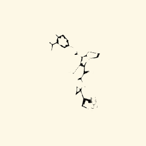 Cc1ccc(NC(=O)c2c(Cl)c(C(=O)C(=O)NC3(c4c[nH]nn4)CC3)n3c2CCC3)cc1C(F)F